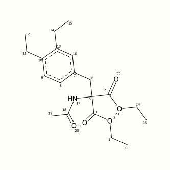 CCOC(=O)C(Cc1ccc(CC)c(CC)c1)(NC(C)=O)C(=O)OCC